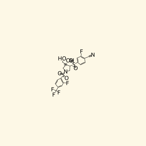 N#Cc1ccc(S(=O)(=O)C2CN(S(=O)(=O)c3ccc(C(F)(F)F)cc3F)C[C@@]2(O)CO)cc1F